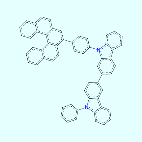 c1ccc(-n2c3ccccc3c3cc(-c4ccc5c6ccccc6n(-c6ccc(-c7cc8ccc9ccccc9c8c8c7ccc7ccccc78)cc6)c5c4)ccc32)cc1